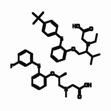 CCN(CC(=O)O)C(COc1ccccc1Sc1ccc(C(C)(C)C)cc1)C(C)C.C[C@@H](CN(C)CC(=O)O)Oc1ccccc1Sc1cccc(F)c1